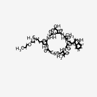 CCCOCCN(C)CCCCC1NC(=O)CCSSCC(C(N)=O)NC(=O)C(C)N(CCc2c[nH]c3ccccc23)C(=O)C(C)NC(=O)C(CC(=O)O)NC(=O)CNC1=O